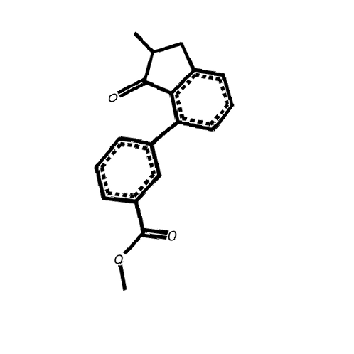 COC(=O)c1cccc(-c2cccc3c2C(=O)C(C)C3)c1